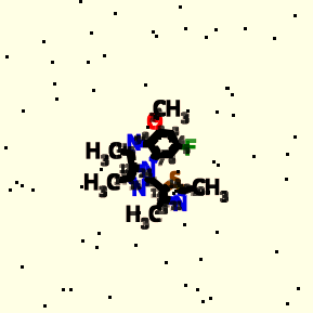 COc1cc(F)cc2c1nc(C)c1c(C)nc(-c3sc(C)nc3C)n12